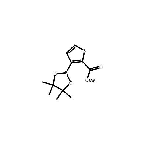 COC(=O)c1sccc1B1OC(C)(C)C(C)(C)O1